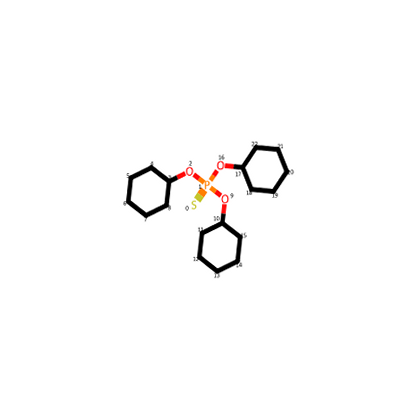 S=P(OC1CCCCC1)(OC1CCCCC1)OC1CCCCC1